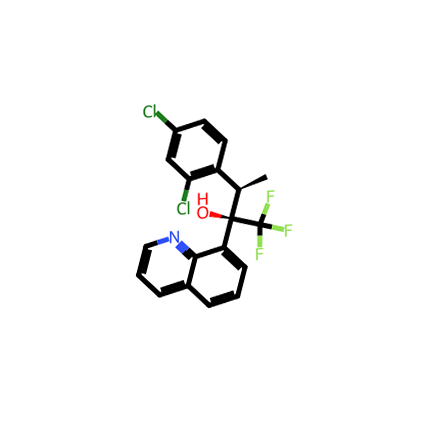 C[C@H](c1ccc(Cl)cc1Cl)[C@@](O)(c1cccc2cccnc12)C(F)(F)F